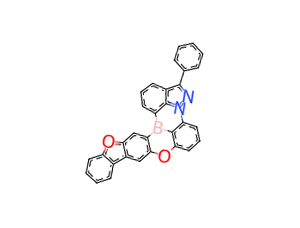 c1ccc(-c2nn3c4c(cccc24)B2c4cc5oc6ccccc6c5cc4Oc4cccc-3c42)cc1